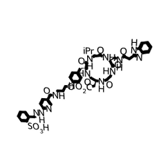 CC(C)C1NC(=O)[C@@H](Cc2ccc(OCCCNC(=O)c3ccc(N/N=C/c4ccccc4S(=O)(=O)O)nc3)cc2)NC(=O)[C@H](CC(=O)O)NC(=O)CNC(=O)[C@H](CNC(=O)Cc2nc3ccccc3[nH]2)NC1=O